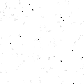 CN(C)C(=O)c1ccc([C@@H]2c3sc4ccccc4c3C[C@H](C(=O)N(C)C)N2C(=O)CCl)cc1